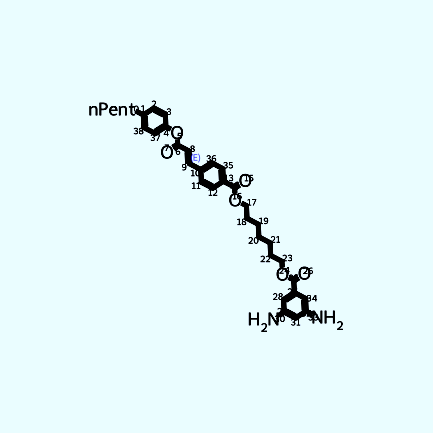 CCCCCc1ccc(OC(=O)/C=C/c2ccc(C(=O)OCCCCCCCOC(=O)c3cc(N)cc(N)c3)cc2)cc1